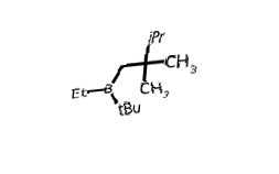 CCB(CC(C)(C)C(C)C)C(C)(C)C